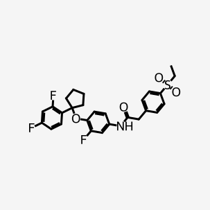 CCS(=O)(=O)c1ccc(CC(=O)Nc2ccc(OC3(c4ccc(F)cc4F)CCCC3)c(F)c2)cc1